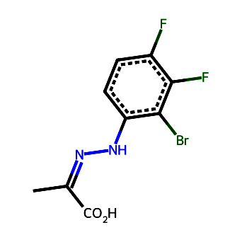 C/C(=N/Nc1ccc(F)c(F)c1Br)C(=O)O